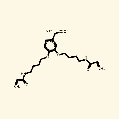 C=CC(=O)NCCCCOc1ccc(CC(=O)[O-])cc1OCCCCNC(=O)C=C.[Na+]